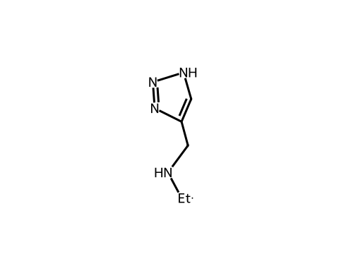 C[CH]NCc1c[nH]nn1